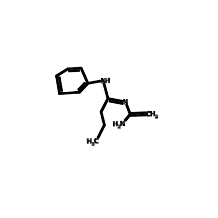 C=C(N)/N=C(\CCC)Nc1ccccc1